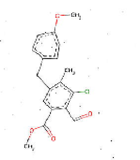 COC(=O)c1cc(Cc2ccc(OC)cc2)c(C)c(Cl)c1C=O